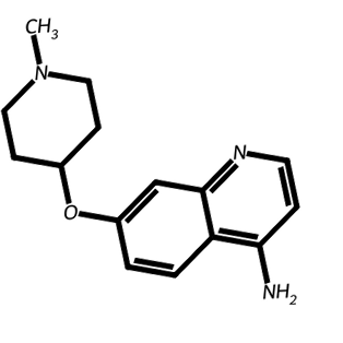 CN1CCC(Oc2ccc3c(N)ccnc3c2)CC1